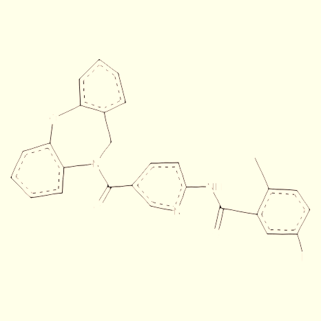 Cc1ccc(F)cc1C(=O)Nc1ccc(C(=O)N2Cc3ccccc3Oc3ccccc32)cn1